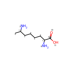 CC(N)CCCCC(N)C(=O)O